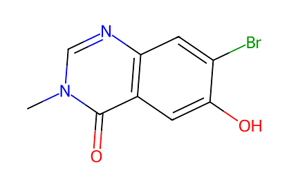 Cn1cnc2cc(Br)c(O)cc2c1=O